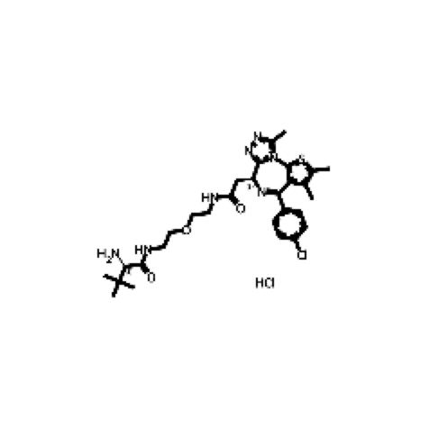 Cc1sc2c(c1C)C(c1ccc(Cl)cc1)=N[C@@H](CC(=O)NCCOCCNC(=O)[C@@H](N)C(C)(C)C)c1nnc(C)n1-2.Cl